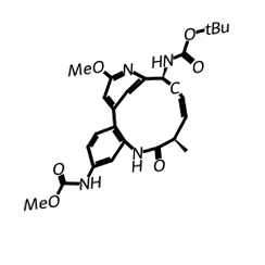 COC(=O)Nc1ccc2c(c1)NC(=O)[C@H](C)/C=C\C[C@H](NC(=O)OC(C)(C)C)c1cc-2cc(OC)n1